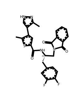 Cc1n[nH]cc1-c1cc(C(=O)N[C@@H](Cc2ccc(F)c(F)c2)CN2C(=O)c3ccccc3C2=O)sc1C